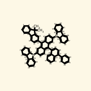 CC1(C)c2ccccc2-c2ccc(-c3c4cc(-n5c6ccccc6c6ccccc65)ccc4c(-c4ccc(-c5ccccc5)c5ccccc45)c4cc(-n5c6ccccc6c6ccccc65)ccc34)cc21